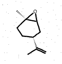 C=C(C)[C@@H]1CC[C@@]2(C)OC2C1